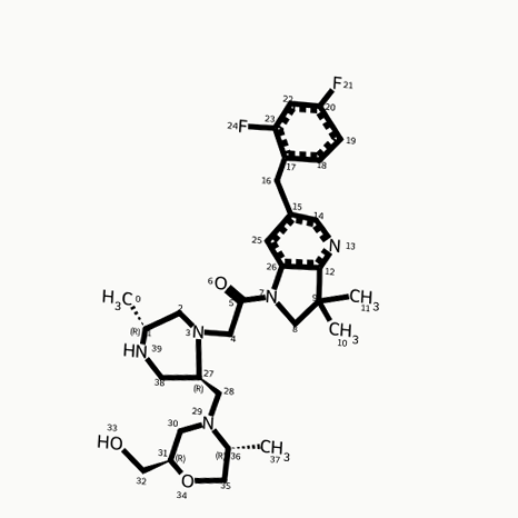 C[C@@H]1CN(CC(=O)N2CC(C)(C)c3ncc(Cc4ccc(F)cc4F)cc32)[C@@H](CN2C[C@H](CO)OC[C@H]2C)CN1